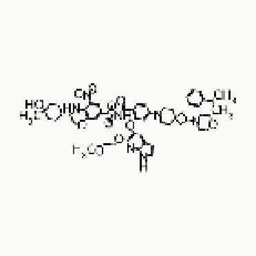 COCCOc1nc2[nH]ccc2cc1Oc1cc(N2CCC3(CC2)CC(N2CCOC[C@H]2c2ccccc2C(C)C)C3)ccc1C(=O)NS(=O)(=O)c1cc2c(c([N+](=O)[O-])c1)N[C@@H](C1CCC(C)(O)CC1)CO2